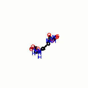 COO/C=N\[C@H](C(=O)N1CC(=O)C[C@H]1c1nc2cc(C#Cc3ccc(-c4c[nH]c([C@@H]5CCCN5C(=O)[C@@H](NC(=O)OC)C(C)C)n4)cc3)ccc2[nH]1)C(C)C